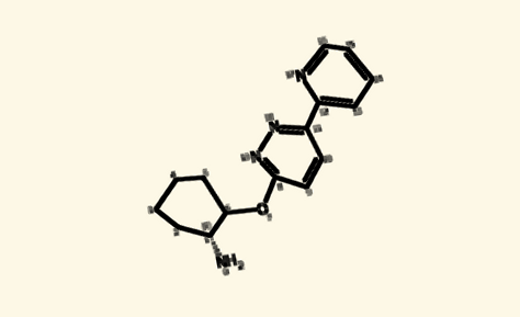 N[C@@H]1CCCCC1Oc1ccc(-c2ccccn2)nn1